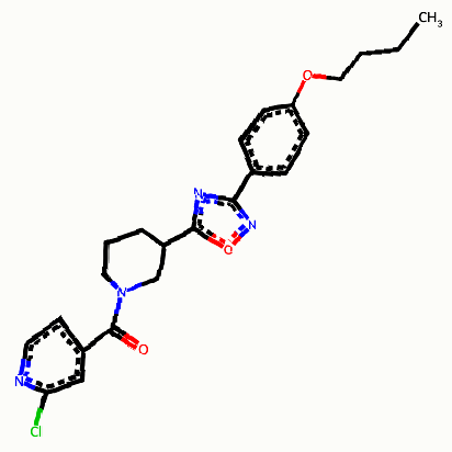 CCCCOc1ccc(-c2noc(C3CCCN(C(=O)c4ccnc(Cl)c4)C3)n2)cc1